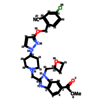 COC(=O)c1ccc2nc(CN3CCC(n4ccc(OCc5ccc(Cl)cc5C#N)n4)CC3)n(C[C@@H]3CCO3)c2c1